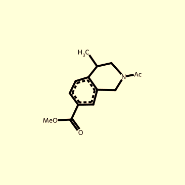 COC(=O)c1ccc2c(c1)CN(C(C)=O)CC2C